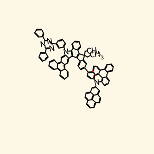 CCC1(CC)c2cc(-c3ccc(N(c4cc5ccc6cccc7ccc(c4)c5c67)c4cccc5c6ccccc6c6ccccc6c45)cc3)ccc2-c2c1c1ccccc1c1c2c2cc3c4ccccc4c4ccccc4c3cc2n1-c1cccc(-c2nc(-c3ccccc3)nc(-c3ccccc3)n2)c1